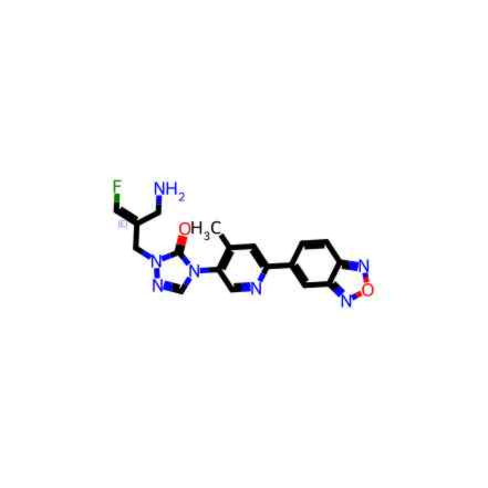 Cc1cc(-c2ccc3nonc3c2)ncc1-n1cnn(C/C(=C/F)CN)c1=O